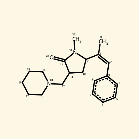 CC(=Cc1ccccc1)C1CC(CN2CCCCC2)C(=O)N1C